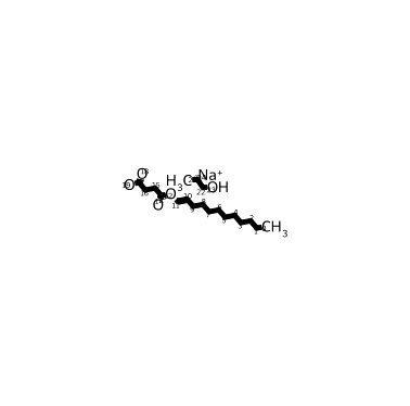 CCCCCCCCCCC=COC(=O)CCC(=O)[O-].CCCO.[Na+]